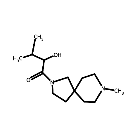 CC(C)C(O)C(=O)N1CCC2(CCN(C)CC2)C1